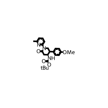 COc1ccc(C2CN(c3cccc(C)n3)C(=O)C[C@@H]2NC(=O)OC(C)(C)C)cc1